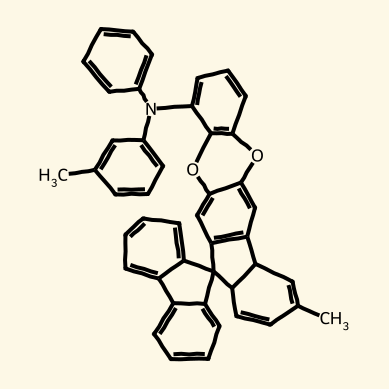 CC1=CC2c3cc4c(cc3C3(c5ccccc5-c5ccccc53)C2C=C1)Oc1c(cccc1N(c1ccccc1)c1cccc(C)c1)O4